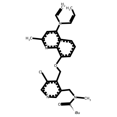 C=CN(/C=C\C)c1cc(C)nc2c(OCc3c(Cl)cncc3CN(C)C(=O)[C@@H](C)CC)cccc12